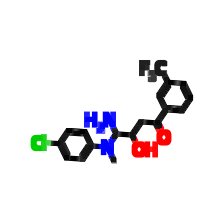 CN(c1ccc(Cl)cc1)C(N)C(O)CC(=O)c1cccc(C(F)(F)F)c1